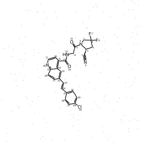 N#C[C@@H]1CC(F)(F)CN1C(=O)CNC(=O)c1ccnc2ccc(/C=C/c3ccc(Cl)cc3)cc12